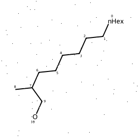 CCCCCCCCCCCCC(C)C[O]